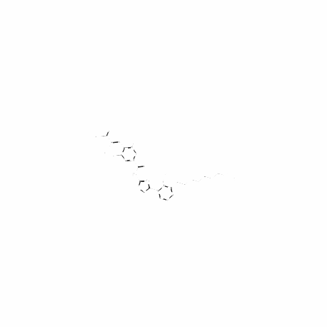 CCCCCOCCc1cccc(-c2csc(NC(=O)c3cc(Cl)c(C=C(C)C(=O)O)c(Cl)c3)n2)c1OC